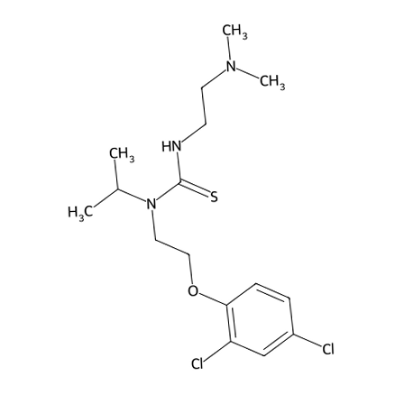 CC(C)N(CCOc1ccc(Cl)cc1Cl)C(=S)NCCN(C)C